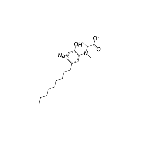 CCCCCCCCCc1ccc(O)c(N(C)C(C)C(=O)[O-])c1.[Na+]